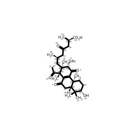 CC(=O)O[C@@H]1C(=O)C2=C(C(=O)C[C@H]3C(C)(C)[C@@H](O)CC[C@]23C)[C@]2(C)C(=O)C[C@H]([C@@H](C)CC(=O)C[C@@H](C)C(=O)O)[C@@]12C